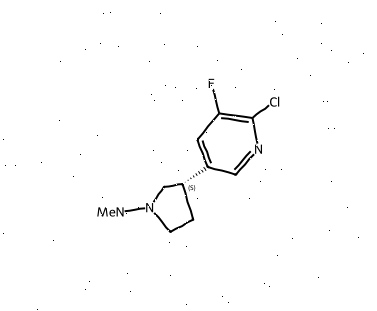 CNN1CC[C@@H](c2cnc(Cl)c(F)c2)C1